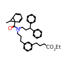 CCOC(=O)CCCc1cccc(CCCN(CCC(c2ccccc2)c2ccccc2)C(=O)C23C=CC=CC2C3C)c1